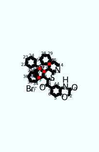 O=C1COc2ccc(C(=O)C(Sc3ncccc3C[P+](c3ccccc3)(c3ccccc3)c3ccccc3)c3ccccc3)cc2N1.[Br-]